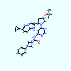 CC(C)(C)[Si](C)(C)O[C@H]1C[C@H](c2cn3cc(C4CC4)ccc3n2)N(c2cc(NC(=O)N3CC(c4ccccc4)C3)ncn2)C1